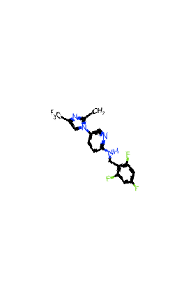 Cc1nc(C(F)(F)F)cn1-c1ccc(NCc2c(F)cc(F)cc2F)nc1